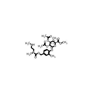 CNCCN(C)C(=O)OCc1ccc(O[C@@H]2O[C@H](C(=O)OC)[C@@H](C)[C@H](OC(C)=O)[C@H]2OC(C)=O)c(C)c1